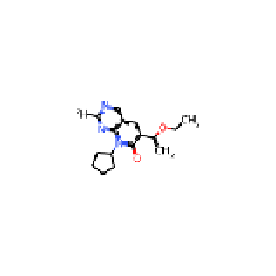 [2H]c1ncc2cc(C(=C)OCC)c(=O)n(C3CCCC3)c2n1